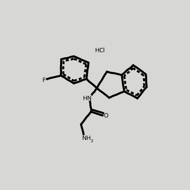 Cl.NCC(=O)NC1(c2cccc(F)c2)Cc2ccccc2C1